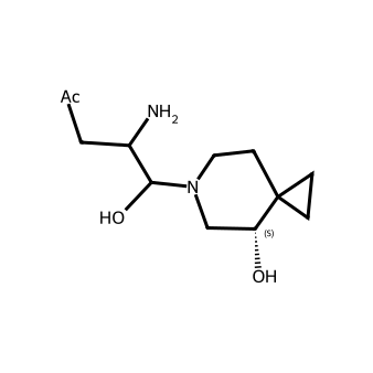 CC(=O)CC(N)C(O)N1CCC2(CC2)[C@H](O)C1